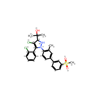 Cc1cc(-c2cccc(S(C)(=O)=O)c2)ccc1N1NC(C(C)(C)O)C(Cl)=C1c1ccccc1Cl